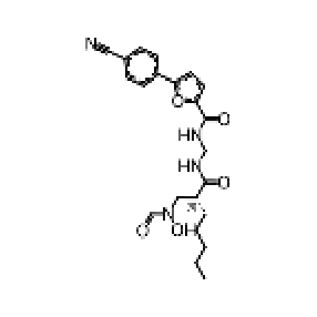 CCCCC[C@H](CN(O)C=O)C(=O)NCNC(=O)c1ccc(-c2ccc(C#N)cc2)o1